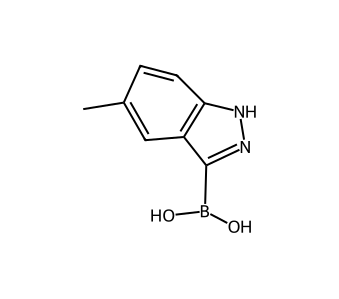 Cc1ccc2[nH]nc(B(O)O)c2c1